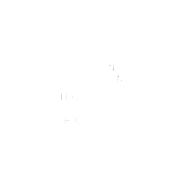 CC(C)C(=O)c1ccnnc1